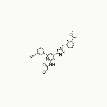 COCC(=O)Nc1nc(-c2cccc(C#N)c2)cc(-c2cn(Cc3cccc(C(C)OC)n3)nn2)n1